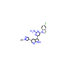 CC(C)n1cc(-c2cnc3[nH]cc(-c4cc(N5CCC6C=C(F)C=CC65)nc(N)n4)c3c2)cn1